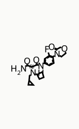 NC(=O)[C@H](C(=O)Nc1ccc(N2CCOCC2=O)c(F)c1)N(CC1CC1)C1CCC1